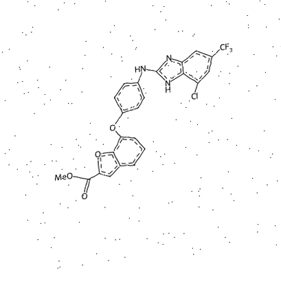 COC(=O)c1cc2cccc(Oc3ccc(Nc4nc5cc(C(F)(F)F)cc(Cl)c5[nH]4)cc3)c2o1